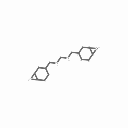 C(OCC1CCC2OC2C1)OCC1CCC2OC2C1